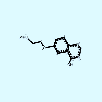 COCCOc1ccc2ncnc(O)c2c1